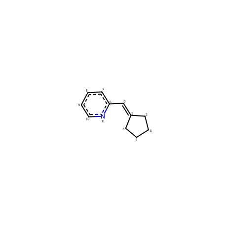 C(=C1CCCC1)c1ccccn1